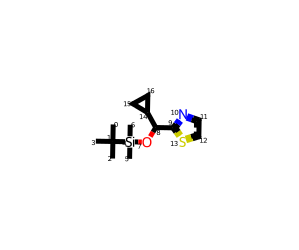 CC(C)(C)[Si](C)(C)OC(c1nccs1)C1CC1